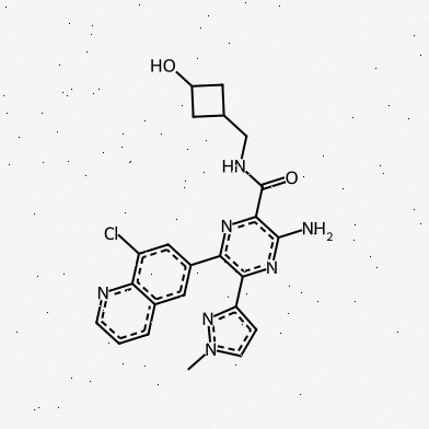 Cn1ccc(-c2nc(N)c(C(=O)NCC3CC(O)C3)nc2-c2cc(Cl)c3ncccc3c2)n1